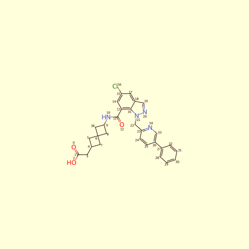 O=C(O)CC1CC2(C1)CC(NC(=O)c1cc(Cl)cc3cnn(Cc4ccc(-c5ccccc5)cn4)c13)C2